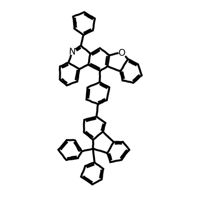 c1ccc(-c2nc3ccccc3c3c(-c4ccc(-c5ccc6c(c5)-c5ccccc5C6(c5ccccc5)c5ccccc5)cc4)c4c(cc23)oc2ccccc24)cc1